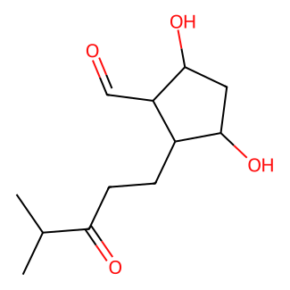 CC(C)C(=O)CCC1C(O)CC(O)C1C=O